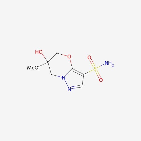 COC1(O)COc2c(S(N)(=O)=O)cnn2C1